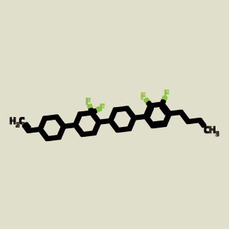 C=CC1CCC(C2CCC(C3CCC(c4ccc(CCCC)c(F)c4F)CC3)C(F)(F)C2)CC1